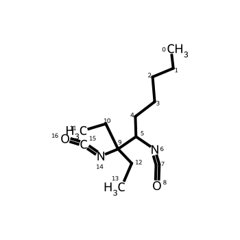 CCCCCC(N=C=O)C(CC)(CC)N=C=O